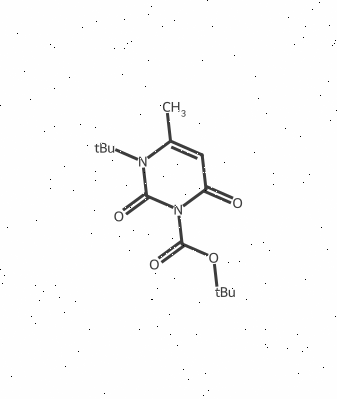 Cc1cc(=O)n(C(=O)OC(C)(C)C)c(=O)n1C(C)(C)C